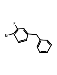 Fc1cc(Cc2ccccc2)ccc1Br